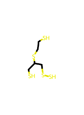 SCCSC(CS)CSS